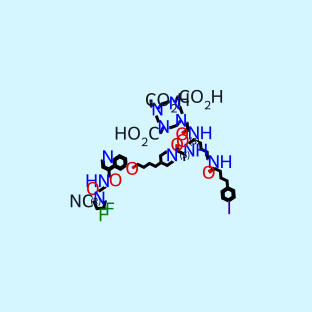 C[C@H](NC(=O)[C@H](CCCCNC(=O)CCCc1ccc(I)cc1)NC(=O)CN1CCN(CC(=O)O)CCN(CC(=O)O)CCN(CC(=O)O)CC1)C(=O)N1CCC(CCCCOc2ccc3nccc(C(=O)NCC(=O)N4CC(F)(F)C[C@@H]4C#N)c3c2)CC1